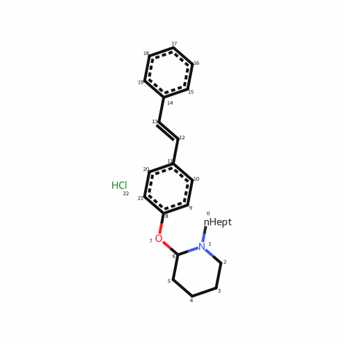 CCCCCCCN1CCCCC1Oc1ccc(/C=C/c2ccccc2)cc1.Cl